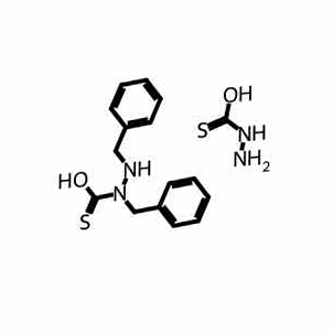 NNC(O)=S.OC(=S)N(Cc1ccccc1)NCc1ccccc1